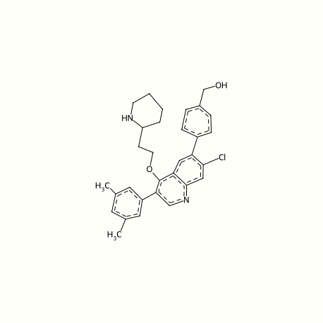 Cc1cc(C)cc(-c2cnc3cc(Cl)c(-c4ccc(CO)cc4)cc3c2OCCC2CCCCN2)c1